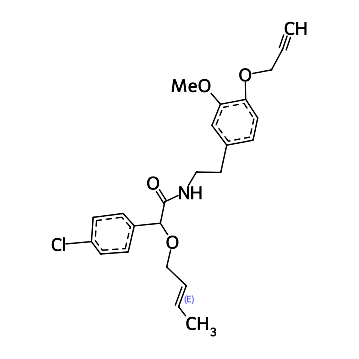 C#CCOc1ccc(CCNC(=O)C(OC/C=C/C)c2ccc(Cl)cc2)cc1OC